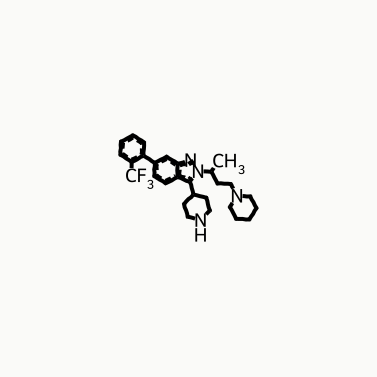 CC(CCN1CCCCC1)n1nc2cc(-c3ccccc3C(F)(F)F)ccc2c1C1CCNCC1